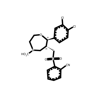 N#Cc1ccccc1S(=O)(=O)C[C@@H]1CN(C(=O)O)CCO[C@H]1c1ccc(Cl)c(Cl)c1